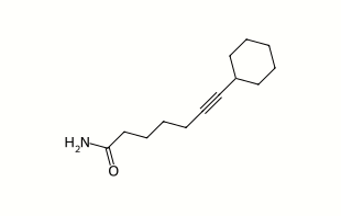 NC(=O)CCCCC#CC1CCCCC1